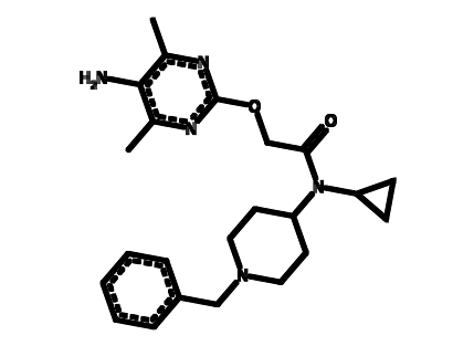 Cc1nc(OCC(=O)N(C2CC2)C2CCN(Cc3ccccc3)CC2)nc(C)c1N